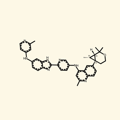 Cc1cc(Nc2ccc3nc(-c4ccc(Nc5cc(C)nc6ccc([C@]78CCOC(C)(C)[C@H]7[C@H]8C)cc56)cn4)[nH]c3c2)ccn1